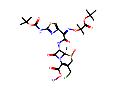 CC(C)(C)OC(=O)Nc1nc(/C(=N/OC(C)(C)C(=O)OC(C)(C)C)C(=O)N[C@@H]2C(=O)N3C(C(=O)OP)=C(CCl)C[S+]([O-])[C@H]23)cs1